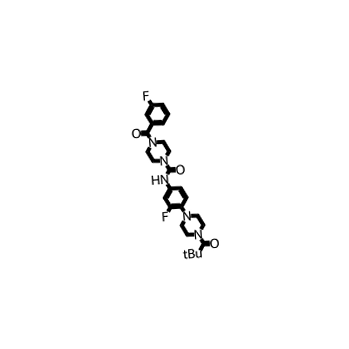 CC(C)(C)C(=O)N1CCN(c2ccc(NC(=O)N3CCN(C(=O)c4cccc(F)c4)CC3)cc2F)CC1